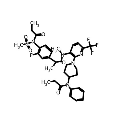 CCC(=O)N(c1ccccc1)C1CCN(c2nc(C(F)(F)F)ccc2N(C)C(=O)C(C)c2ccc(N(C(=O)CC)S(C)(=O)=O)c(F)c2)CC1